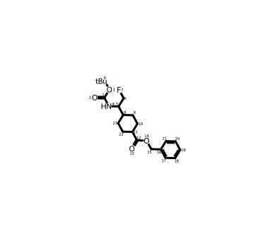 CC(C)(C)OC(=O)NC(CF)C1CCC(C(=O)OCc2ccccc2)CC1